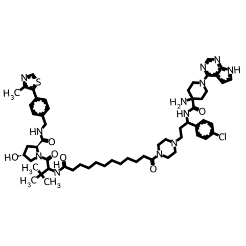 Cc1ncsc1-c1ccc(CNC(=O)[C@@H]2C[C@@H](O)CN2C(=O)C(NC(=O)CCCCCCCCCCC(=O)N2CCN(CCC(NC(=O)C3(N)CCN(c4ncnc5[nH]ccc45)CC3)c3ccc(Cl)cc3)CC2)C(C)(C)C)cc1